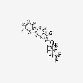 FC(F)C(F)C(F)(F)C(F)(F)OCC(Cl)c1ccc(-c2ccccc2)cc1